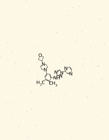 Cc1cc(N2CCN(C3COC3)CC2)cc(Nc2ncn(-c3cnccn3)n2)c1C